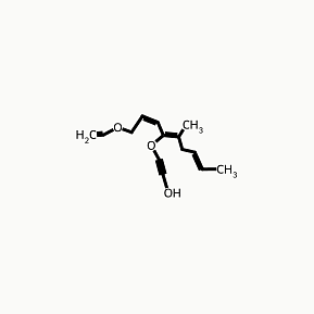 C=COC/C=C\C(OC#CO)=C(/C)CC=CC